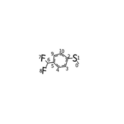 CSc1ccc(C(F)F)cc1